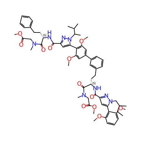 CCC(C)Cn1nc(C(=O)N[C@@H](CCc2cccc(-c3cc(OC)c(-c4cc(C(=O)N[C@@H](CCc5ccccc5)C(=O)N(C)CC(=O)OC)nn4C(C)C(C)C)c(OC)c3)c2)C(=O)N(C)CC(=O)OC)cc1-c1c(OC)cccc1OC